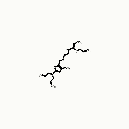 C=CCNC(=C[N+](=O)[O-])NCCSCc1oc(N(CC=C)CC=C)cc1C